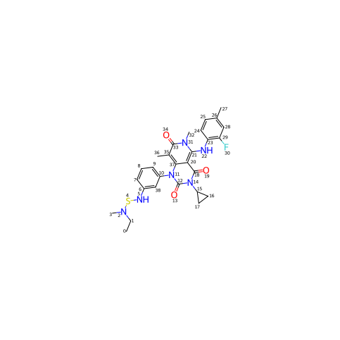 CCN(C)SNc1cccc(-n2c(=O)n(C3CC3)c(=O)c3c(Nc4ccc(C)cc4F)n(C)c(=O)c(C)c32)c1